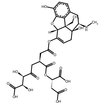 CC[C@]12c3c4ccc(O)c3O[C@H]1C(OC(=O)C[C@H](CC(=O)[C@H](O)[C@@H](O)C(=O)O)C(=O)O[C@@H](CC(=O)O)C(=O)O)=CC[C@@]2(O)[C@H](NC)C4